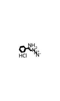 Cl.[N-]=[N+]=NC[C@H](N)c1ccccc1